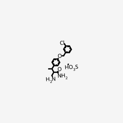 CC(c1ccc(OCc2cccc(Cl)c2)cc1)C(CN)C(N)=O.CS(=O)(=O)O